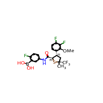 COc1c([C@@H]2C[C@](C)(C(F)(F)F)S[C@H]2C(=O)Nc2ccc(F)c(B(O)O)c2)ccc(F)c1F